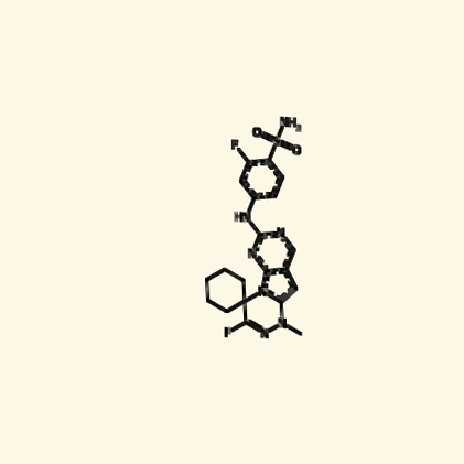 CN1N=C(F)C2(CCCCC2)n2c1cc1cnc(Nc3ccc(S(N)(=O)=O)c(F)c3)nc12